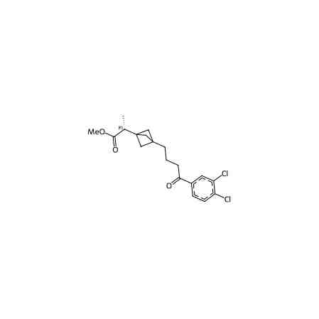 COC(=O)[C@H](C)C12CC(CCCC(=O)c3ccc(Cl)c(Cl)c3)(C1)C2